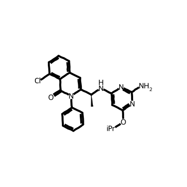 CC(C)Oc1cc(N[C@@H](C)c2cc3cccc(Cl)c3c(=O)n2-c2ccccc2)nc(N)n1